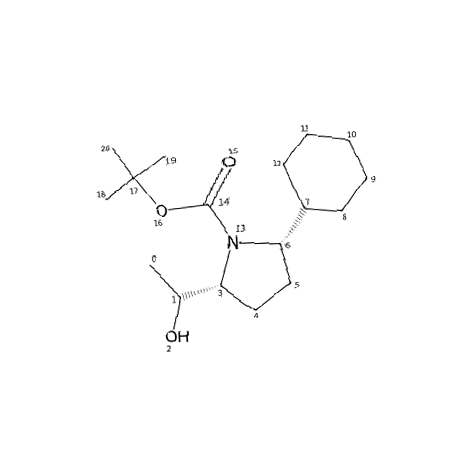 CC(O)[C@H]1CC[C@@H](C2CCCCC2)N1C(=O)OC(C)(C)C